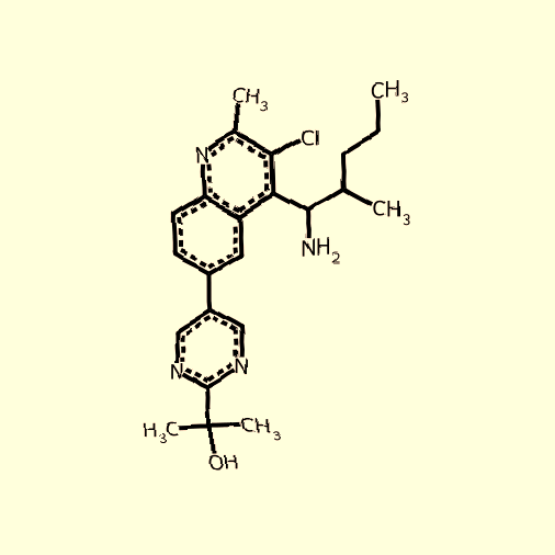 CCCC(C)C(N)c1c(Cl)c(C)nc2ccc(-c3cnc(C(C)(C)O)nc3)cc12